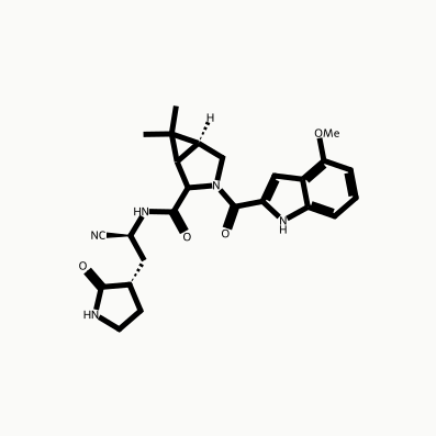 COc1cccc2[nH]c(C(=O)N3C[C@H]4C(C3C(=O)N[C@H](C#N)C[C@@H]3CCNC3=O)C4(C)C)cc12